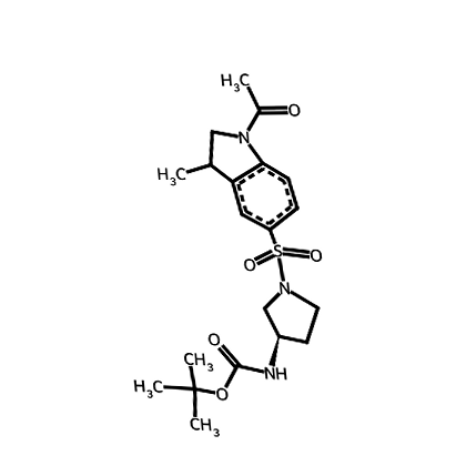 CC(=O)N1CC(C)c2cc(S(=O)(=O)N3CC[C@@H](NC(=O)OC(C)(C)C)C3)ccc21